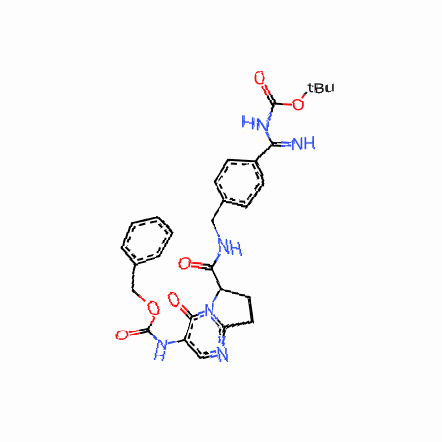 CC(C)(C)OC(=O)NC(=N)c1ccc(CNC(=O)C2CCc3ncc(NC(=O)OCc4ccccc4)c(=O)n32)cc1